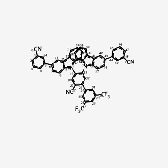 N#Cc1cccc(-c2ccc3c(c2)c2ccccc2n3-c2cc(C#N)c(-c3cc(C(F)(F)F)cc(C(F)(F)F)c3)cc2-n2c3ccccc3c3cc(-c4cccc(C#N)c4)ccc32)c1